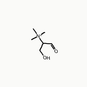 C[N+](C)(C)C(C=O)CO